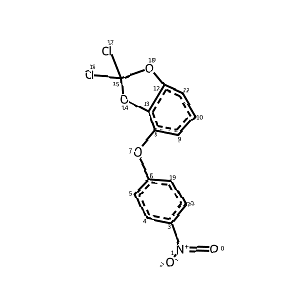 O=[N+]([O-])c1ccc(Oc2cccc3c2OC(Cl)(Cl)O3)cc1